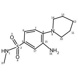 CNS(=O)(=O)c1ccc(N2CCCCC2)c(N)c1